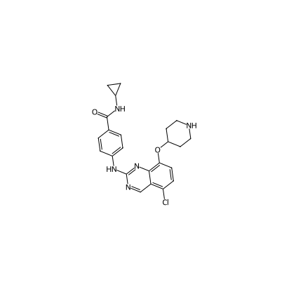 O=C(NC1CC1)c1ccc(Nc2ncc3c(Cl)ccc(OC4CCNCC4)c3n2)cc1